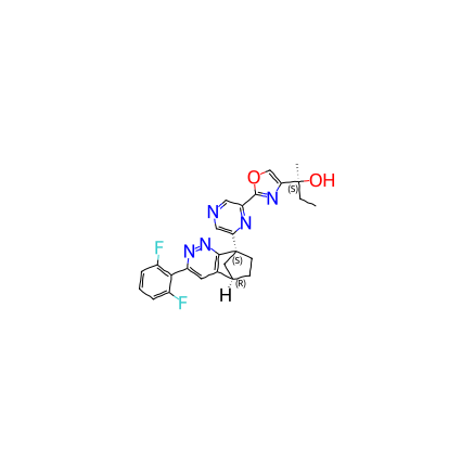 CC[C@](C)(O)c1coc(-c2cncc([C@]34CC[C@H](C3)c3cc(-c5c(F)cccc5F)nnc34)n2)n1